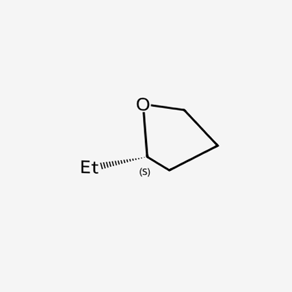 CC[C@H]1CCCO1